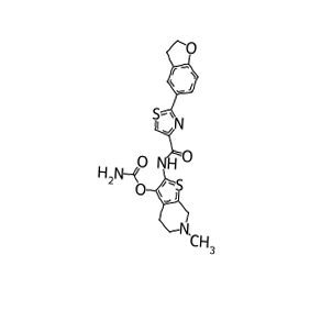 CN1CCc2c(sc(NC(=O)c3csc(-c4ccc5c(c4)CCO5)n3)c2OC(N)=O)C1